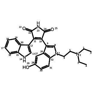 CCN(CC)CCn1cc(C2=C(c3c[nH]c4ccccc34)C(=O)NC2=O)c2cc(O)ccc21